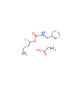 CC(=O)O.CCCC(Cl)OC(=O)NCC1CCCCC1